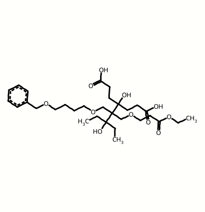 CCOC(=O)CCOCC(COCCCCOCc1ccccc1)(C(O)(CC)CC)C(O)(CCC(=O)O)CCC(=O)O